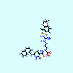 Cc1c(C)c(S(=O)(=O)NC(=N)NCCC[C@H](NC(=O)c2ccc(Cc3cccc4ccccc34)[nH]c2=O)C(=O)O)c(C)c2c1OC(C)(C)CC2